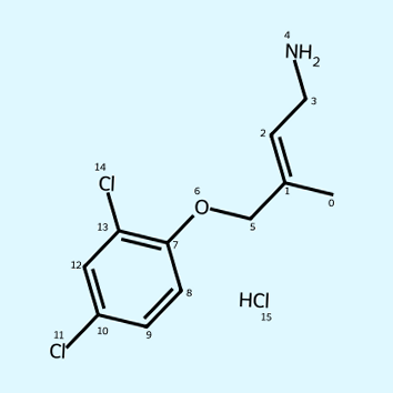 CC(=CCN)COc1ccc(Cl)cc1Cl.Cl